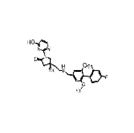 CCOc1cc(CNCCC2(CC)CC(=O)N(c3nccc(O)n3)C2)cc(OCC)c1-c1ccc(F)cc1